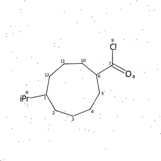 CC(C)C1CCCCC(C(=O)Cl)CCC1